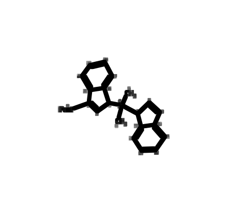 CCCC(C)C1=CC([Si](C)(C)C2C=Cc3ccccc32)c2ccccc21